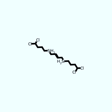 ClC(Cl)CCC[SiH2]CC=CC[SiH2]CCCC(Cl)Cl